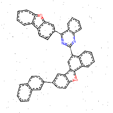 c1ccc2cc(-c3ccc4oc5c6ccccc6c(-c6nc(-c7ccc8c(c7)oc7ccccc78)c7ccccc7n6)cc5c4c3)ccc2c1